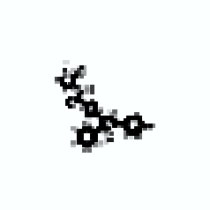 O=C(N[C@@H]1CCNC1=O)C1CC(c2cc(-c3ccc(F)cc3)[nH]c2-c2ccccc2)C1